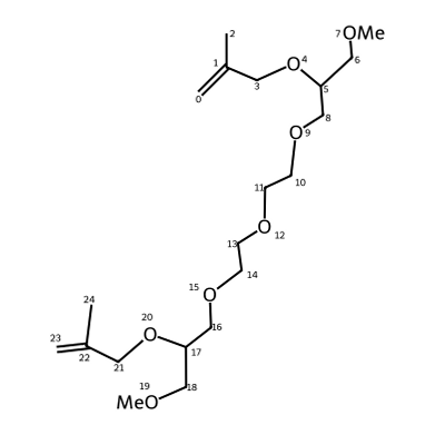 C=C(C)COC(COC)COCCOCCOCC(COC)OCC(=C)C